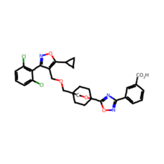 O=C(O)c1cccc(-c2noc(C34CCC(COCc5c(-c6c(Cl)cccc6Cl)noc5C5CC5)(CC3)CO4)n2)c1